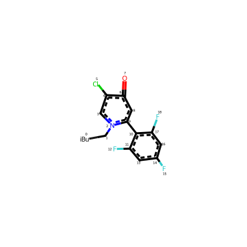 CCC(C)Cn1cc(Cl)c(=O)cc1-c1c(F)cc(F)cc1F